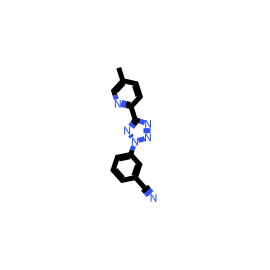 Cc1ccc(-c2nnn(-c3cccc(C#N)c3)n2)nc1